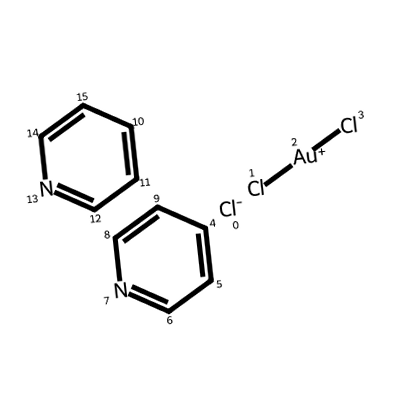 [Cl-].[Cl][Au+][Cl].c1ccncc1.c1ccncc1